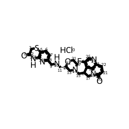 Cl.O=C1CSc2ccc(CNC[C@H]3CN(CC4Cn5c(=O)ccc6ncc(F)c4c65)CCO3)nc2N1